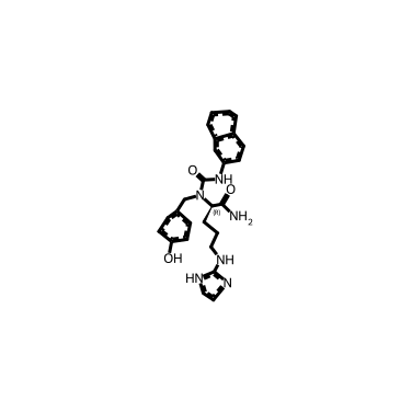 NC(=O)[C@@H](CCCNc1ncc[nH]1)N(Cc1ccc(O)cc1)C(=O)Nc1ccc2ccccc2c1